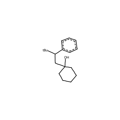 CC(C)(C)C(CC1(O)CCCCC1)c1ccccc1